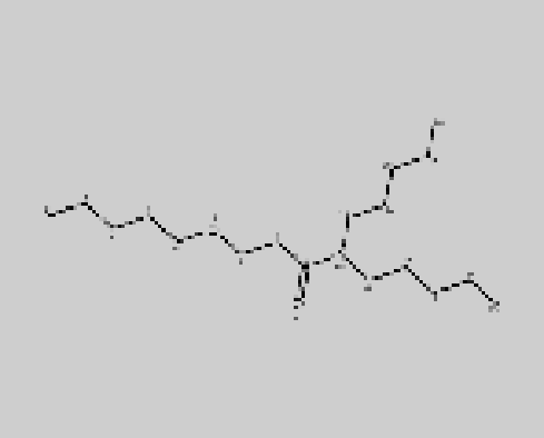 CCCCCOCCC(=O)N(CCCCC)CCCCC